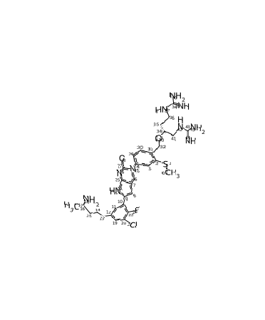 CSc1cc(-n2cc3cc(-c4cc(CCC[C@H](C)N)cc(Cl)c4F)[nH]c3nc2=O)ccc1CO[C@H](CCNC(=N)N)CNC(=N)N